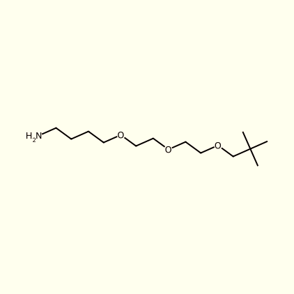 CC(C)(C)COCCOCCOCCCCN